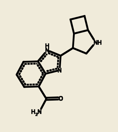 NC(=O)c1cccc2[nH]c(C3CNC4CCC43)nc12